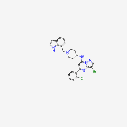 Clc1ccccc1-c1cc(NC2CCN(Cc3cccc4cc[nH]c34)CC2)n2ncc(Br)c2n1